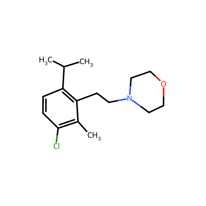 Cc1c(Cl)ccc(C(C)C)c1CCN1CCOCC1